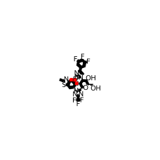 CC(=O)O[C@@H]1[C@@H](n2cc(-c3cc(F)c(F)c(F)c3)nn2)[C@@H](O)[C@@H](CO)O[C@H]1c1nc(C(F)(F)F)nn1-c1ccc2nc(C)sc2c1